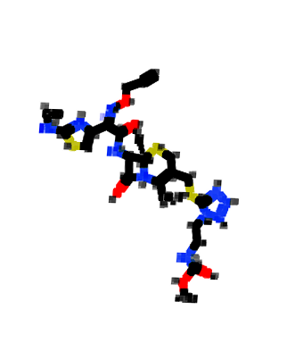 C#CCO/N=C(\C(=O)NC1C(=O)N2C(C(=O)O)=C(CSc3nnnn3CCNC(=O)OC(C)(C)C)CS[C@H]12)c1csc(NC=O)n1